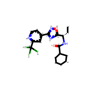 CC[C@H](NC(=O)C1CCCCC1)c1nc(-c2ccnc(C(F)(F)F)c2)no1